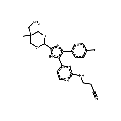 CC1(CN)COC(c2nc(-c3ccc(F)cc3)c(-c3ccnc(NCCC#N)n3)[nH]2)OC1